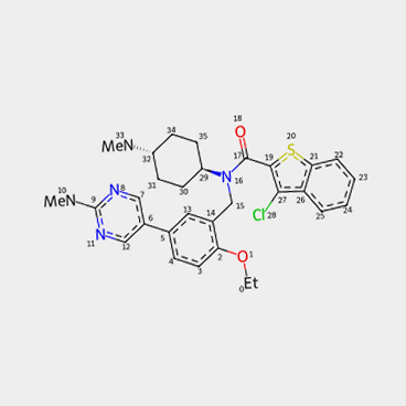 CCOc1ccc(-c2cnc(NC)nc2)cc1CN(C(=O)c1sc2ccccc2c1Cl)[C@H]1CC[C@H](NC)CC1